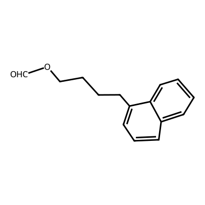 O=COCCCCc1cccc2ccccc12